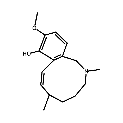 COc1ccc2c(c1O)/C=C\C(C)CCCN(C)C2